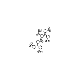 O=S(=O)=C1C=C(P(C2=CC(=S(=O)=O)CC=C2)C2=CC(=S(=O)=O)CC=C2)C=CC1.O=S(=O)=C1C=C(P(C2=CC(=S(=O)=O)CC=C2)C2=CC(=S(=O)=O)CC=C2)C=CC1.[Pd]